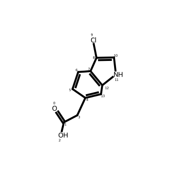 O=C(O)Cc1ccc2c(Cl)c[nH]c2c1